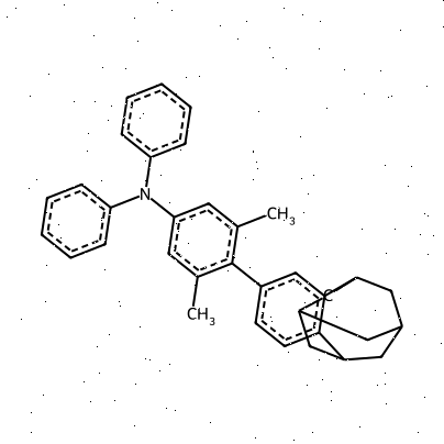 Cc1cc(N(c2ccccc2)c2ccccc2)cc(C)c1-c1ccc2c(c1)C1CC3CC(CC2C3)C1